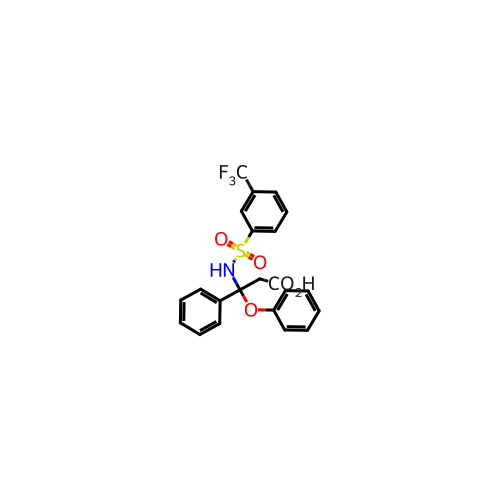 O=C(O)CC(NS(=O)(=O)c1cccc(C(F)(F)F)c1)(Oc1ccccc1)c1ccccc1